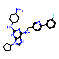 NC1CCC(Nc2nc(NCc3ccc(-c4cccc(F)c4)nc3)c3ncn(C4CCCC4)c3n2)CC1